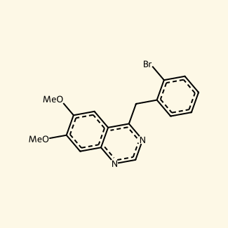 COc1cc2ncnc(Cc3ccccc3Br)c2cc1OC